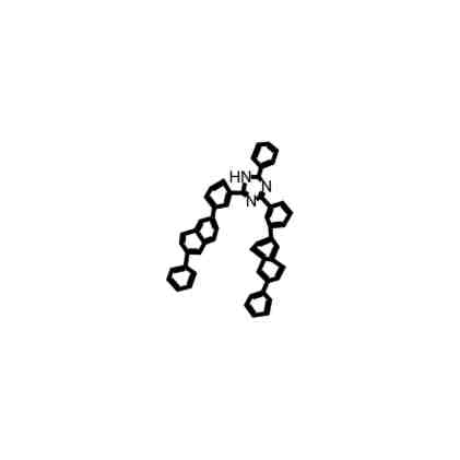 c1ccc(-c2ccc3cc(-c4cccc(C5=NC(c6ccccc6)NC(c6cccc(-c7ccc8cc(-c9ccccc9)ccc8c7)c6)=N5)c4)ccc3c2)cc1